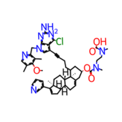 COc1c(C)cnc(Cn2cc(C#CCCC3C[C@H](OC(=O)N(C)CCN(C)C(=O)O)CC4=CC[C@@H]5[C@@H]6CC=C(c7cccnc7)[C@@]6(C)CC[C@@H]5[C@]43C)c3c(Cl)nc(N)nc32)c1C